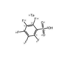 O=S(=O)(O)c1c(F)c(F)c(F)c(F)c1F.[Ta]